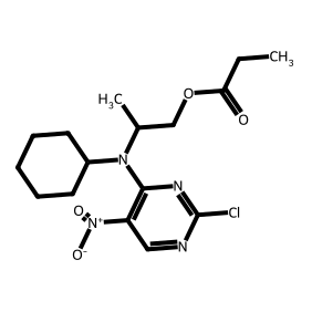 CCC(=O)OCC(C)N(c1nc(Cl)ncc1[N+](=O)[O-])C1CCCCC1